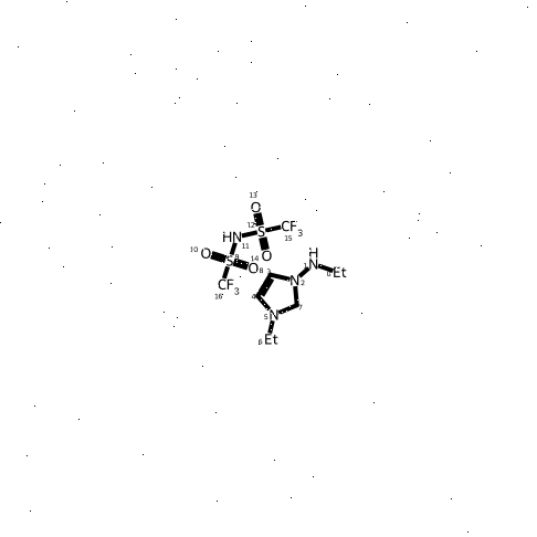 CCNN1C=CN(CC)C1.O=S(=O)(NS(=O)(=O)C(F)(F)F)C(F)(F)F